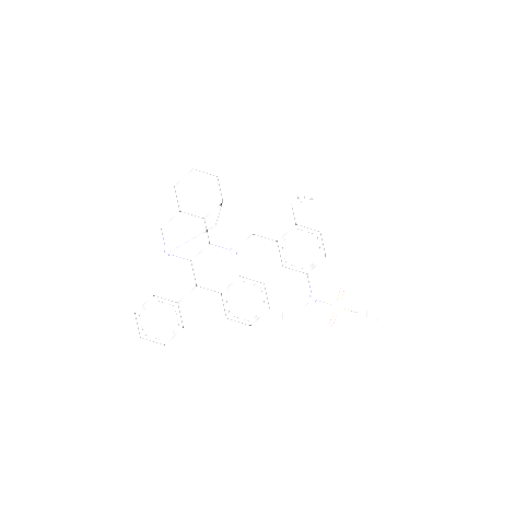 COc1ccc(N(C)S(C)(=O)=O)cc1CNC1C2C3CCCC2CN(C3)C1C(c1ccccc1)c1ccccc1